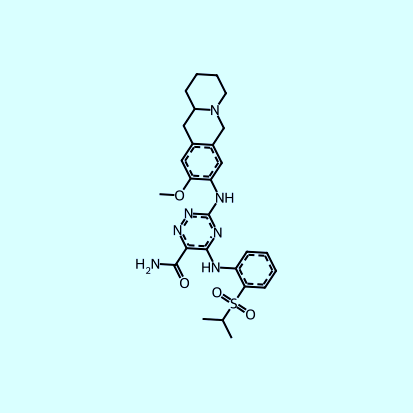 COc1cc2c(cc1Nc1nnc(C(N)=O)c(Nc3ccccc3S(=O)(=O)C(C)C)n1)CN1CCCCC1C2